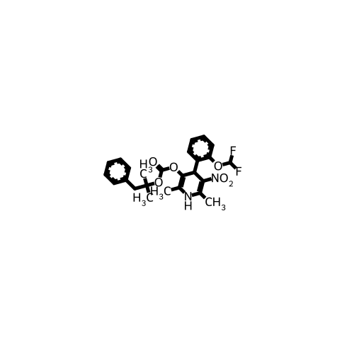 CC1=C(OC(=O)OC(C)(C)Cc2ccccc2)C(c2ccccc2OC(F)F)C([N+](=O)[O-])=C(C)N1